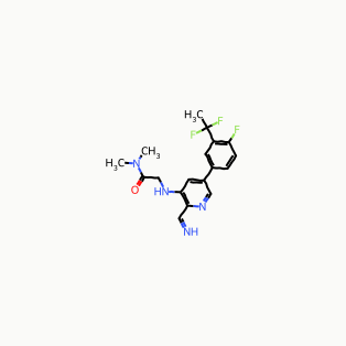 CN(C)C(=O)CNc1cc(-c2ccc(F)c(C(C)(F)F)c2)cnc1C=N